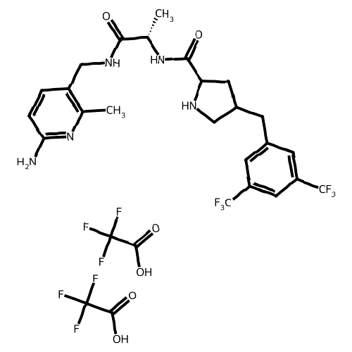 Cc1nc(N)ccc1CNC(=O)[C@H](C)NC(=O)C1CC(Cc2cc(C(F)(F)F)cc(C(F)(F)F)c2)CN1.O=C(O)C(F)(F)F.O=C(O)C(F)(F)F